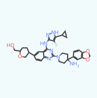 NC1(c2ccc3c(c2)OCO3)CCN(c2nc(Nc3n[nH]c(C4CC4)c3F)c3cc(C4CCC(CO)OC4)ccc3n2)CC1